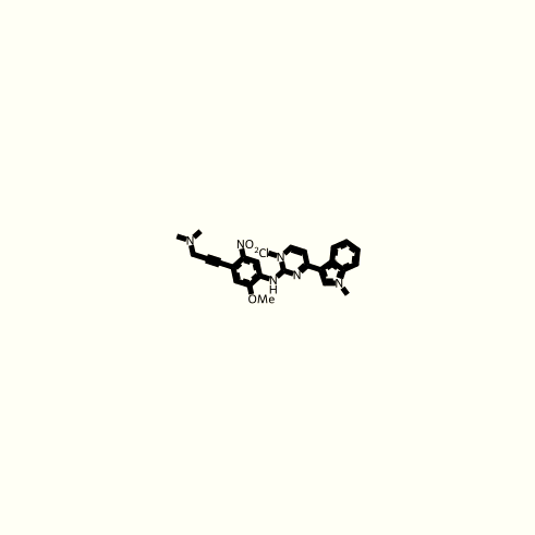 COc1cc(C#CCN(C)C)c([N+](=O)[O-])cc1NC1N=C(c2cn(C)c3ccccc23)C=CN1Cl